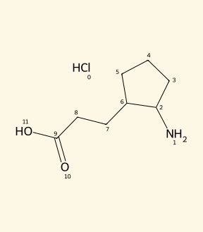 Cl.NC1CCCC1CCC(=O)O